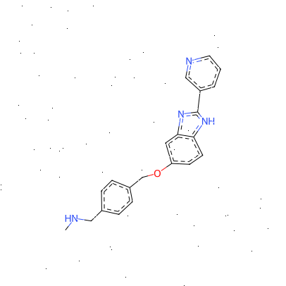 CNCc1ccc(COc2ccc3[nH]c(-c4cccnc4)nc3c2)cc1